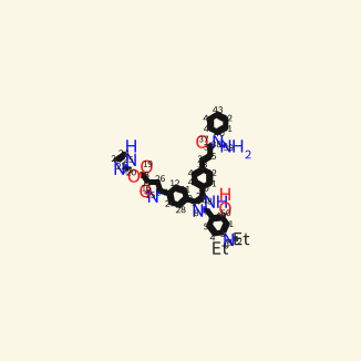 CCN(CC)c1ccc(-c2nc(-c3ccc(C4=NOC(C(=O)Oc5ncc[nH]5)C4)cc3)c(-c3ccc(C=CC(=O)N(N)c4ccccc4)cc3)[nH]2)c(O)c1